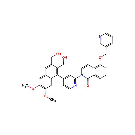 COc1cc2cc(CO)c(CO)c(-c3ccnc(-n4ccc5c(OCc6cccnc6)cccc5c4=O)c3)c2cc1OC